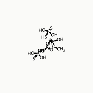 CO[PH](=O)O.O=[PH](O)O.OP(O)(=S)S.OP(O)(O)=S